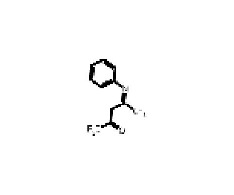 O=C(CC(=Nc1ccccc1)C(F)(F)F)C(F)(F)F